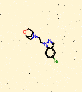 Brc1ccc2c(cnn2CCN2CC3CC2CO3)c1